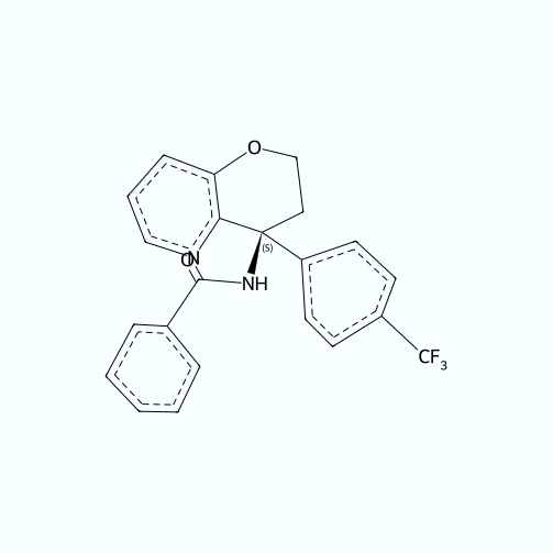 O=C(N[C@]1(c2ccc(C(F)(F)F)cc2)CCOc2cccnc21)c1ccccc1